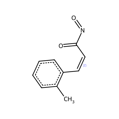 Cc1ccccc1/C=C\C(=O)N=O